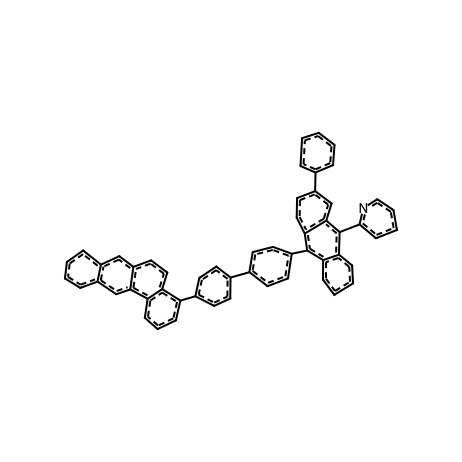 c1ccc(-c2ccc3c(-c4ccc(-c5ccc(-c6cccc7c6ccc6cc8ccccc8cc67)cc5)cc4)c4ccccc4c(-c4ccccn4)c3c2)cc1